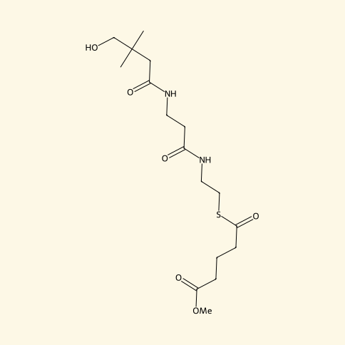 COC(=O)CCCC(=O)SCCNC(=O)CCNC(=O)CC(C)(C)CO